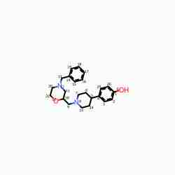 Oc1ccc(C2CCN(CC3CN(Cc4ccccc4)CCO3)CC2)cc1